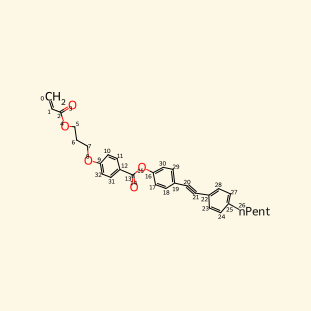 C=CC(=O)OCCCOc1ccc(C(=O)Oc2ccc(C#Cc3ccc(CCCCC)cc3)cc2)cc1